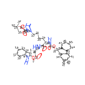 COC(=O)[C@H](Cc1c[nH]c2ccccc12)NC(=O)C(CCCCNC(=O)OC(C)(C)C)NC(=O)OCC1c2ccccc2-c2ccccc21